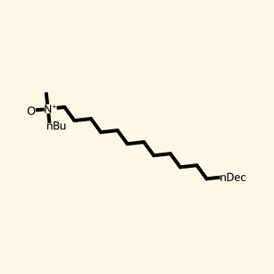 CCCCCCCCCCCCCCCCCCCCCC[N+](C)([O-])CCCC